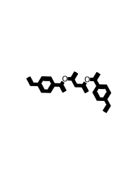 C=Cc1ccc(C(=C)OC(=C)CC(=C)OC(=C)c2ccc(C=C)cc2)cc1